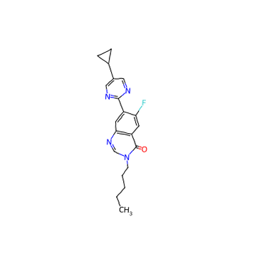 CCCCCn1cnc2cc(-c3ncc(C4CC4)cn3)c(F)cc2c1=O